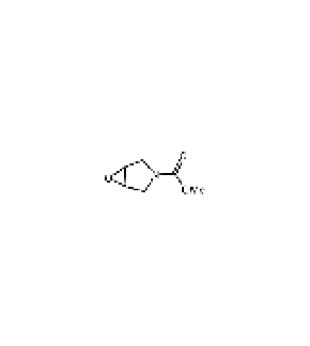 COC(=O)N1CC2OC2C1